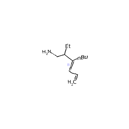 C=C/C=C(\CCCC)C(CC)CN